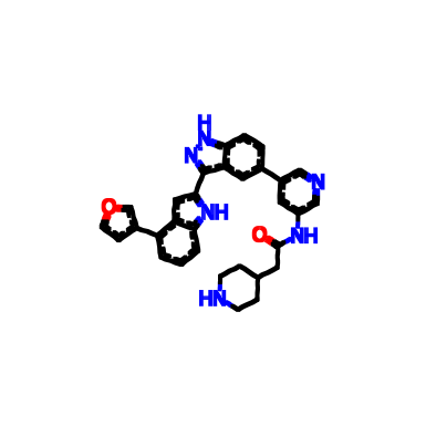 O=C(CC1CCNCC1)Nc1cncc(-c2ccc3[nH]nc(-c4cc5c(-c6ccoc6)cccc5[nH]4)c3c2)c1